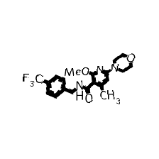 COc1nc(N2CCOCC2)cc(C)c1C(=O)NCc1ccc(C(F)(F)F)cc1